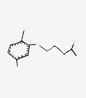 CC(=O)C(N)CCCNc1cc(C)ccc1[N+](=O)[O-]